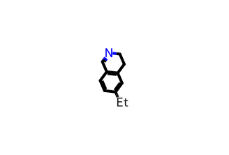 CCc1ccc2c(c1)CCN=C2